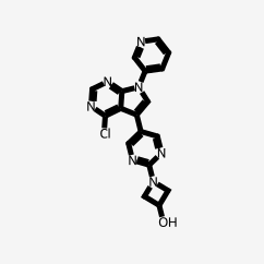 OC1CN(c2ncc(-c3cn(-c4cccnc4)c4ncnc(Cl)c34)cn2)C1